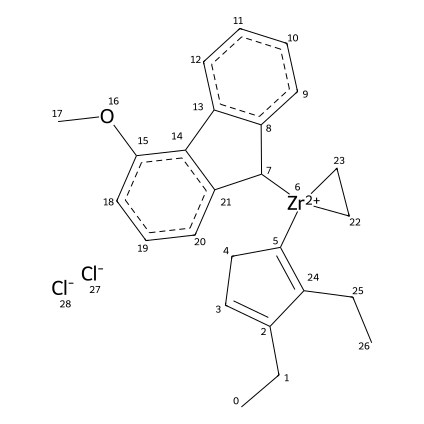 CCC1=CC[C]([Zr+2]2([CH]3c4ccccc4-c4c(OC)cccc43)[CH2][CH2]2)=C1CC.[Cl-].[Cl-]